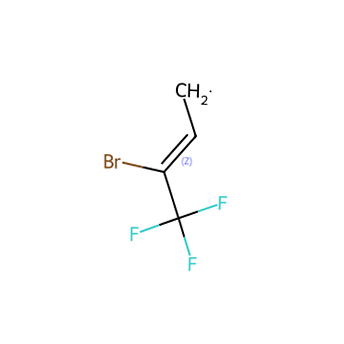 [CH2]/C=C(\Br)C(F)(F)F